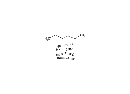 CCCCCC.N=C=O.N=C=O.N=C=O.N=C=O